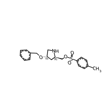 Cc1ccc(S(=O)(=O)OC[C@H]2C[C@H](OCc3ccccc3)CN2)cc1